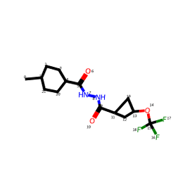 CC1CCC(C(=O)NNC(=O)C2CC(OC(F)(F)F)C2)CC1